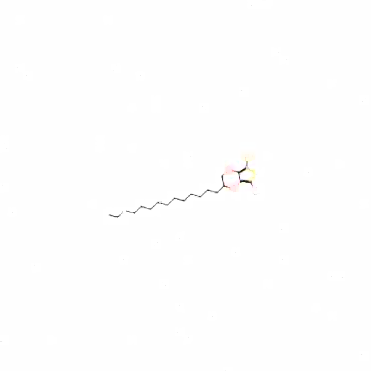 CCCCCCCCCCCCCCC1COc2c(Br)sc(Br)c2O1